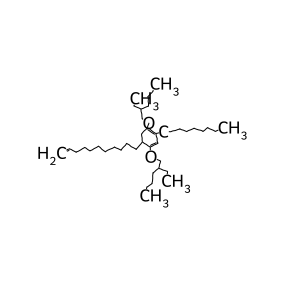 C=CCCCCCCCCCC1CC(OCC(CC)CCCC)=C(CCCCCCCCC)C=C1OCC(CC)CCCC